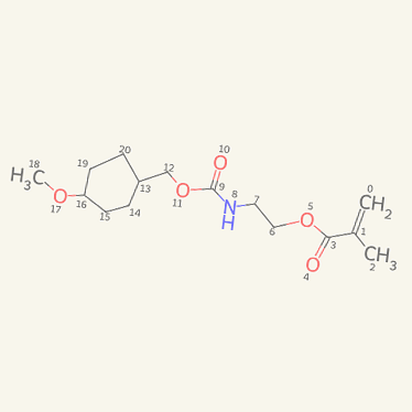 C=C(C)C(=O)OCCNC(=O)OCC1CCC(OC)CC1